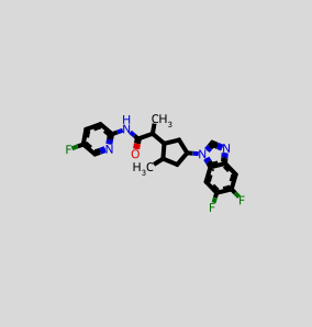 CC1CC(n2cnc3cc(F)c(F)cc32)CC1C(C)C(=O)Nc1ccc(F)cn1